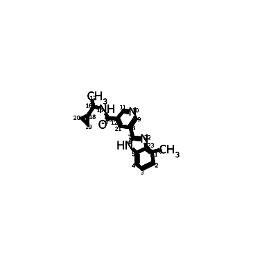 Cc1cccc2[nH]c(-c3cncc(C(=O)NC(C)C4CC4)c3)nc12